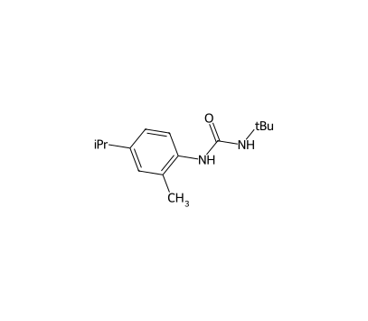 Cc1cc(C(C)C)ccc1NC(=O)NC(C)(C)C